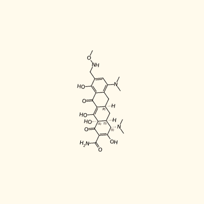 CONCc1cc(N(C)C)c2c(c1O)C(=O)C1=C(O)[C@]3(O)C(=O)C(C(N)=O)=C(O)[C@@H](N(C)C)[C@@H]3C[C@@H]1C2